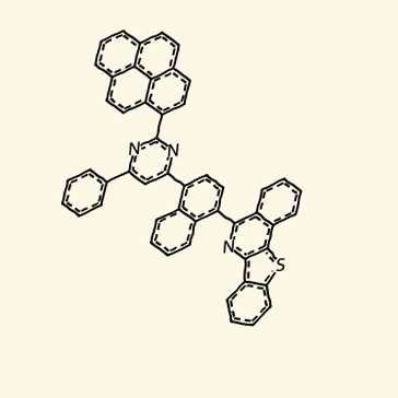 c1ccc(-c2cc(-c3ccc(-c4nc5c6ccccc6sc5c5ccccc45)c4ccccc34)nc(-c3ccc4ccc5cccc6ccc3c4c56)n2)cc1